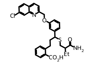 CCC(CSC(CCc1ccccc1C(=O)O)c1cccc(OCc2ccc3ccc(Cl)cc3n2)c1)C(N)=O